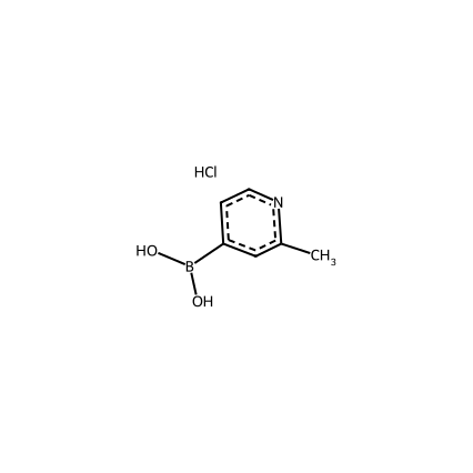 Cc1cc(B(O)O)ccn1.Cl